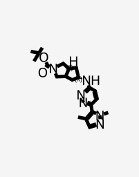 Cc1cnn(C)c1-c1ccc(N[C@@H]2CC3CN(C(=O)OC(C)(C)C)C[C@H]3C2)nn1